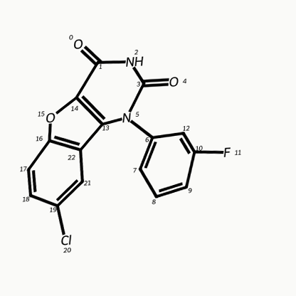 O=c1[nH]c(=O)n(-c2cccc(F)c2)c2c1oc1ccc(Cl)cc12